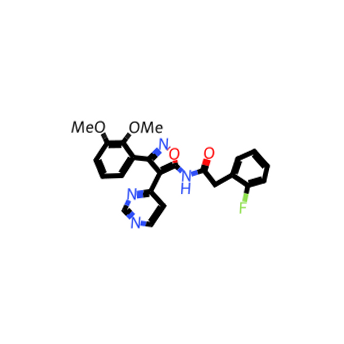 COc1cccc(-c2noc(NC(=O)Cc3ccccc3F)c2-c2ccncn2)c1OC